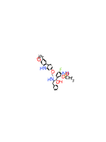 CC(C)Oc1ccc2c(c1)[nH]c1cc(OCCNC(Cc3ccccc3)C(O)c3ccc(F)c(NS(C)(=O)=O)c3)ccc12